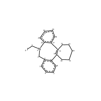 ICN1Cc2ccccc2C2=C(CCCCC2)c2ccccc21